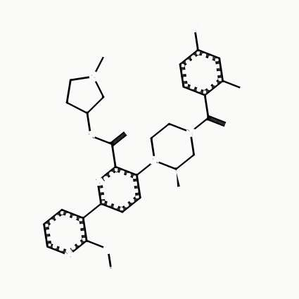 CCOc1ncccc1-c1ccc(N2CCN(C(=O)c3ccc(Cl)cc3C(F)(F)F)C[C@H]2CC)c(C(=O)NC2CCN(C)C2)n1